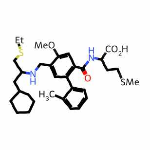 CCSCC(CC1CCCCC1)NCc1cc(-c2ccccc2C)c(C(=O)NC(CCSC)C(=O)O)cc1OC